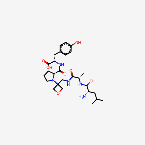 CC(C)C[C@H](N)C(O)N[C@@H](C)C(=O)NCC1(N2CCC[C@H]2C(=O)N[C@@H](Cc2ccc(O)cc2)C(=O)O)COC1